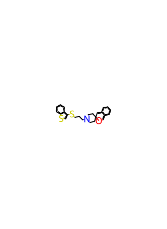 C1=c2ccccc2=CC2(CCN(CCCSc3csc4ccccc34)CC2)O1